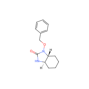 O=C1N[C@@H]2CCCC[C@H]2N1OCc1ccccc1